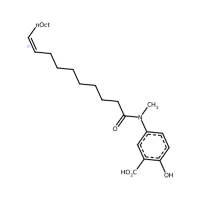 CCCCCCCC/C=C\CCCCCCCC(=O)N(C)c1ccc(O)c(C(=O)O)c1